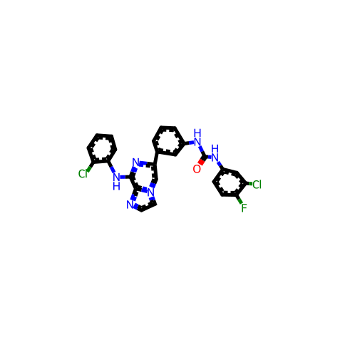 O=C(Nc1cccc(-c2cn3ccnc3c(Nc3ccccc3Cl)n2)c1)Nc1ccc(F)c(Cl)c1